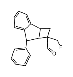 O=CC1(CF)CC2c3ccccc3C(c3ccccc3)C21